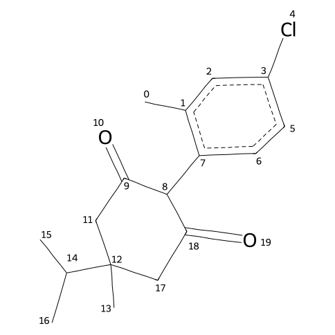 Cc1cc(Cl)ccc1C1C(=O)CC(C)(C(C)C)CC1=O